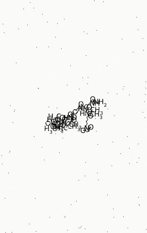 CNC(C(=O)NC(C(=O)N(C)C(C=C(C)C(=O)NS(=O)(=O)c1ccc(CNC(=O)C(CCCNC(N)=O)NC(=O)C(NC(=O)CCCCCN2C(=O)C=CC2=O)C(C)C)cc1)C(C)C)C(C)(C)C)C(C)(C)c1ccccc1